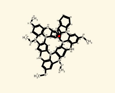 CSc1cc2c3c(c1)N(SC)c1cc4c(cc1B3c1cc3c(cc1O2)N(SC)c1cc(SC)cc2c1B3c1ccccc1O2)B1c2c(cc(SC)cc2-n2c3ccccc3c3cccc1c32)N4